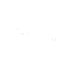 CCN(CC)C(=O)CC(=O)C(N)=O